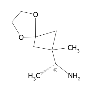 C[C@@H](N)C1(C)CC2(C1)OCCO2